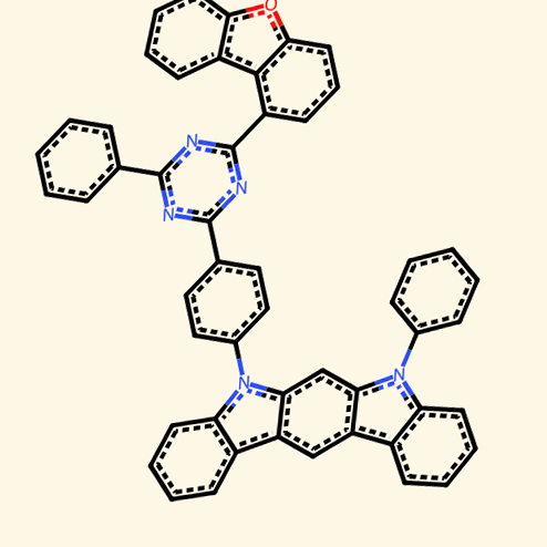 c1ccc(-c2nc(-c3ccc(-n4c5ccccc5c5cc6c7ccccc7n(-c7ccccc7)c6cc54)cc3)nc(-c3cccc4oc5ccccc5c34)n2)cc1